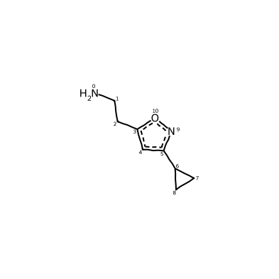 NCCc1cc(C2CC2)no1